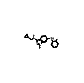 Clc1ccccc1Nc1ccc2c(NCC3CC3)n[nH]c2c1